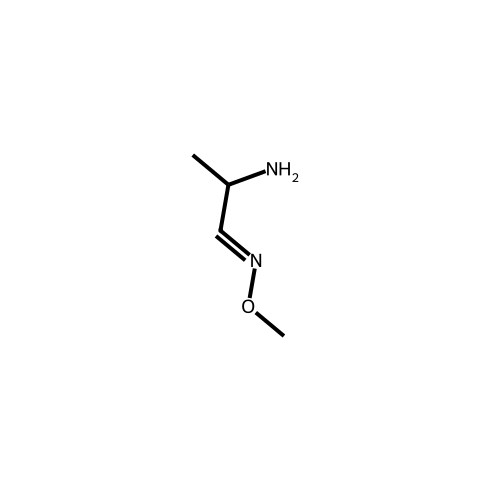 CON=CC(C)N